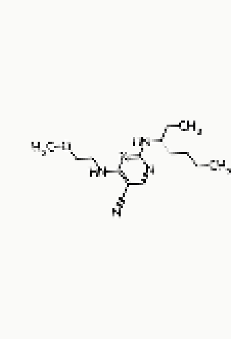 CCCC[C@@H](CC)Nc1ncc(C#N)c(NCCOC)n1